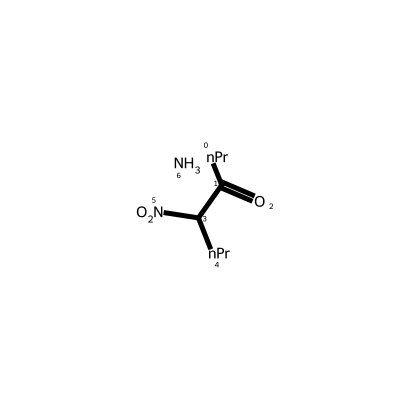 CCCC(=O)C(CCC)[N+](=O)[O-].N